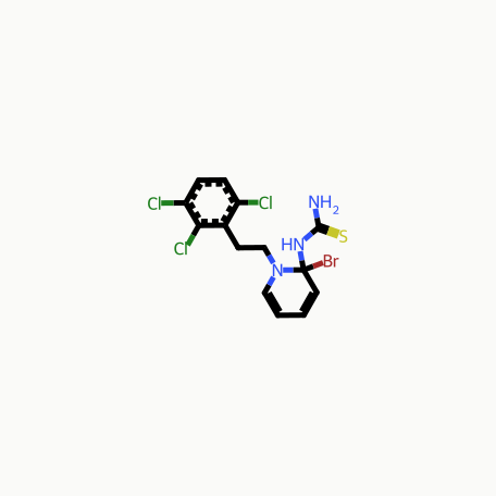 NC(=S)NC1(Br)C=CC=CN1CCc1c(Cl)ccc(Cl)c1Cl